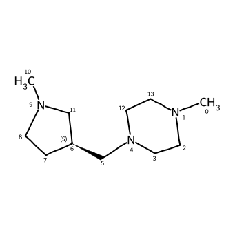 CN1CCN(C[C@H]2CCN(C)C2)CC1